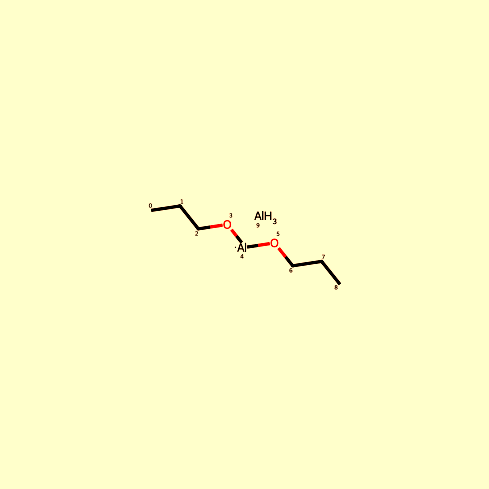 CCC[O][Al][O]CCC.[AlH3]